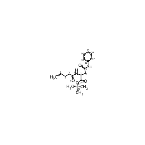 C=CCCC(=O)NC(CC(=O)Sc1ccccc1)C(=O)OC(C)(C)C